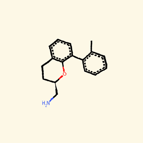 Cc1ccccc1-c1cccc2c1O[C@@H](CN)CC2